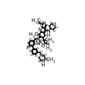 CCc1nc2c(cnn2CC)c(NC2CCOCC2)c1CC(C(=O)NCc1ccc(F)c(-c2cccc(CN3CCN[C@@H](C)C3)c2)c1)C(C)(C)C(N)=O